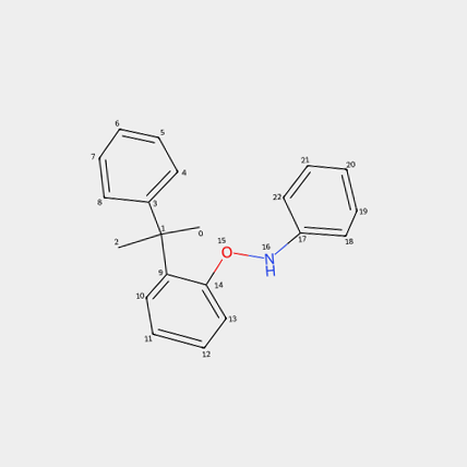 CC(C)(c1ccccc1)c1ccccc1ONc1ccccc1